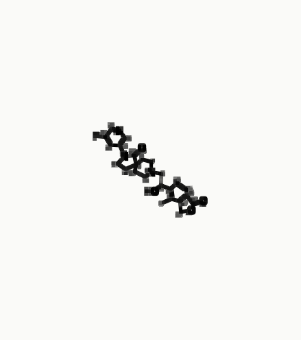 Cc1c([C@@H](O)CN2CCC3(CC2)CCN(c2cncc(F)c2)C3=O)ccc2c1COC2=O